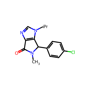 CC(C)n1cnc2c1C(c1ccc(Cl)cc1)N(C)C2=O